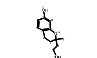 CC1(CCO)CCc2ccc(O)cc2O1